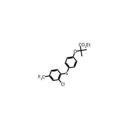 CCOC(=O)C(C)(C)Oc1ccc(Sc2ccc(C(F)(F)F)cc2Cl)cc1